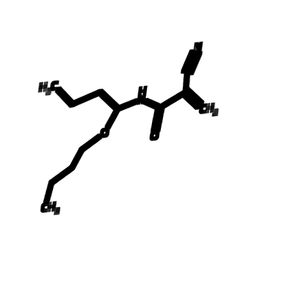 C=C(C#N)C(=O)NC(CCC)OCCCC